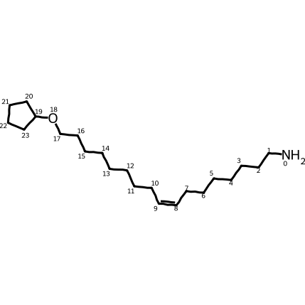 NCCCCCCC/C=C\CCCCCCCCOC1CCCC1